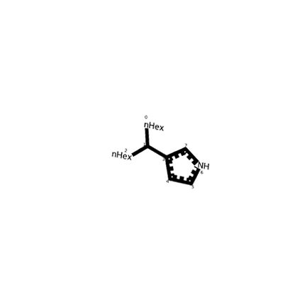 CCCCCCC(CCCCCC)c1cc[nH]c1